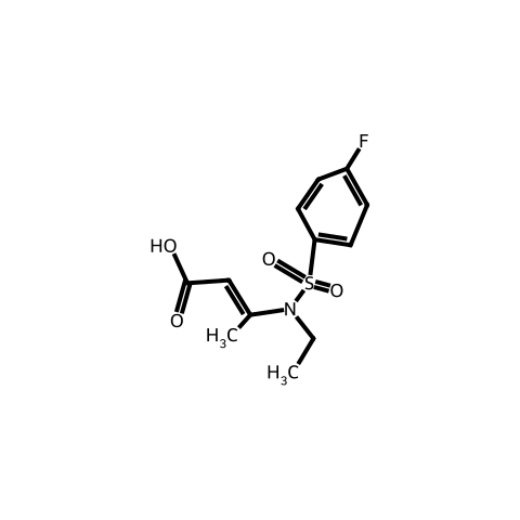 CCN(C(C)=CC(=O)O)S(=O)(=O)c1ccc(F)cc1